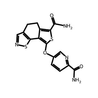 NC(=O)c1ccc(Oc2sc(C(N)=O)c3c2-c2sncc2CC3)cn1